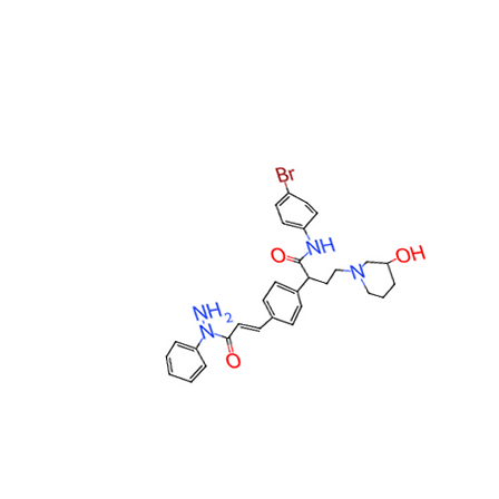 NN(C(=O)C=Cc1ccc(C(CCN2CCCC(O)C2)C(=O)Nc2ccc(Br)cc2)cc1)c1ccccc1